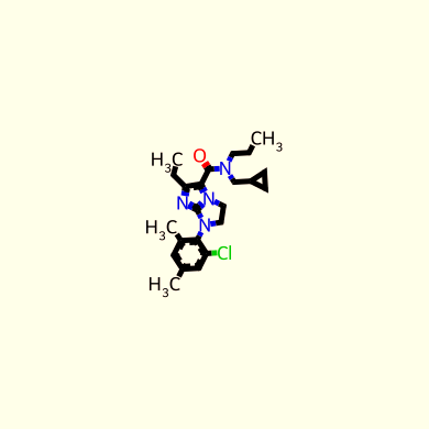 CCCN(CC1CC1)C(=O)c1c(CC)nc2n1CCN2c1c(C)cc(C)cc1Cl